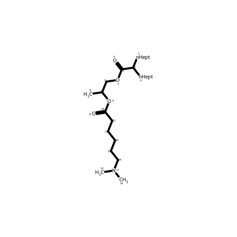 CCCCCCCC(CCCCCCC)C(=O)OCC(C)OC(=O)CCCCCN(C)C